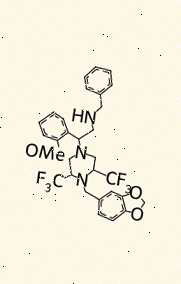 COc1ccccc1C(CNCc1ccccc1)N1CC(C(F)(F)F)N(Cc2ccc3c(c2)OCO3)C(C(F)(F)F)C1